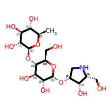 C[C@H]1O[C@@H](O[C@H]2[C@H](O)[C@@H](O)[C@@H](O[C@@H]3CN[C@H](CO)[C@@H]3O)O[C@@H]2CO)[C@H](O)[C@@H](O)[C@@H]1O